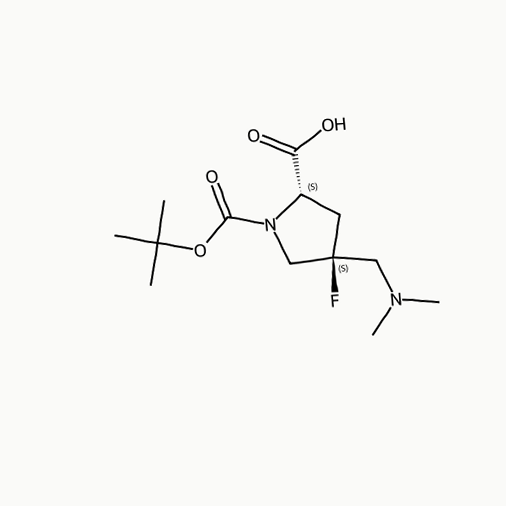 CN(C)C[C@@]1(F)C[C@@H](C(=O)O)N(C(=O)OC(C)(C)C)C1